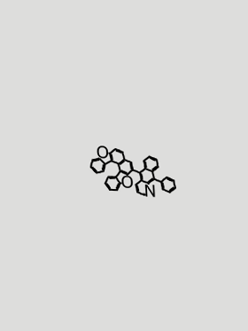 c1ccc(-c2c3ccccc3c(-c3cc4ccc5oc6ccccc6c5c4c4c3oc3ccccc34)c3cccnc23)cc1